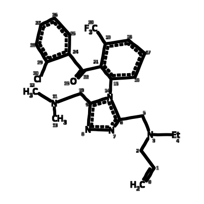 C=CCN(CC)Cc1nnc(CN(C)C)n1-c1cccc(C(F)(F)F)c1C(=O)c1ccccc1Cl